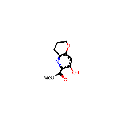 COC(=O)c1nc2c(cc1O)OCCC2